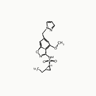 CCC1C[C@@H]1S(=O)(=O)Nc1noc2cc(Cn3cccn3)cc(OC)c12